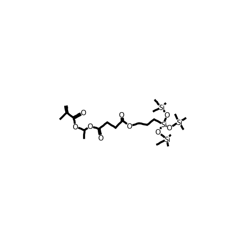 C=C(C)C(=O)OC(C)OC(=O)CCC(=O)OCCC[Si](O[Si](C)(C)C)(O[Si](C)(C)C)O[Si](C)(C)C